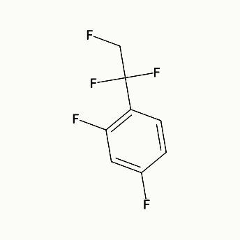 FCC(F)(F)c1ccc(F)cc1F